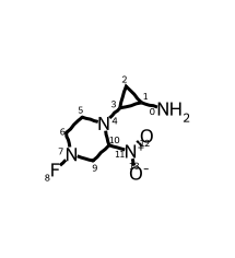 NC1CC1N1CCN(F)CC1[N+](=O)[O-]